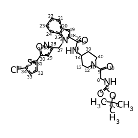 CC(C)(C)OC(=O)NCC(=O)N1CCC(NC(=O)c2cc3ccccc3n2Cc2cc(-c3ccc(Cl)s3)on2)CC1